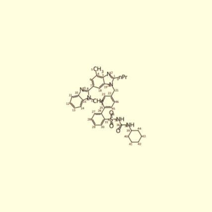 CCCc1nc2c(C)cc(-c3nc4ccccc4n3C)cc2n1Cc1ccc(-c2ccccc2S(=O)(=O)NC(=O)NC2CCCCC2)cc1